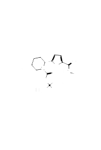 CNC(=O)c1ccc([C@@H]2CC[C@@H](C)CN2C(=O)OC(C)(C)C)s1